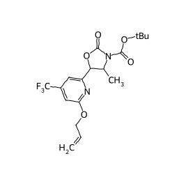 C=CCOc1cc(C(F)(F)F)cc(C2OC(=O)N(C(=O)OC(C)(C)C)C2C)n1